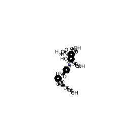 CC(=O)Nc1cc(S(=O)(=O)O)cc2cc(SOOO)c(/N=N/c3ccc(C(=O)Nc4cccc(S(=O)(=O)CCOSOOO)c4)cc3)c(O)c12